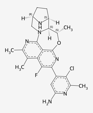 Cc1nc(N)cc(-c2nc3c4c(nc(C)c(C)c4c2F)N2C[C@H]4CC[C@H](N4)[C@H]2[C@H](C)O3)c1Cl